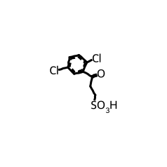 O=C(CCS(=O)(=O)O)c1cc(Cl)ccc1Cl